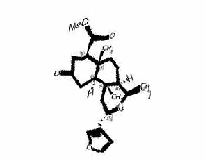 C=C1O[C@H](c2ccoc2)C[C@]2(C)[C@H]3CC(=O)C[C@@H](C(=O)OC)[C@]3(C)CC[C@@H]12